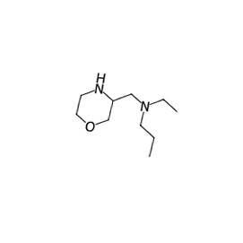 CCCN(CC)CC1COCCN1